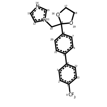 FC(F)(F)c1ccc(-c2ccc(C3(Cn4ccnc4)OCCO3)cc2)cc1